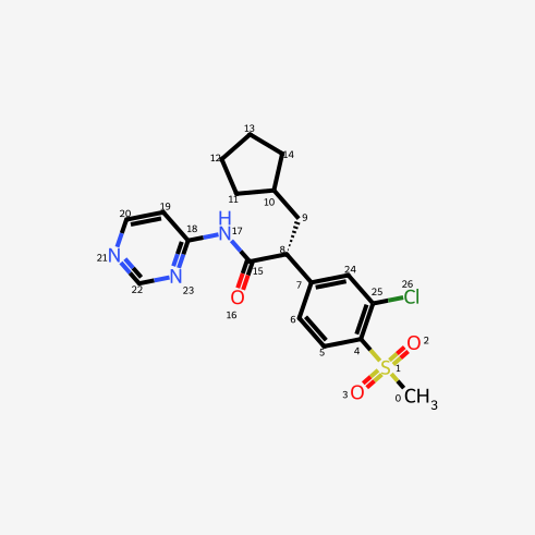 CS(=O)(=O)c1ccc([C@@H](CC2CCCC2)C(=O)Nc2ccncn2)cc1Cl